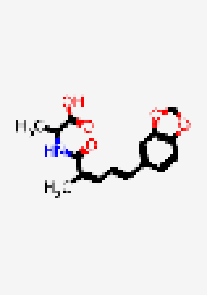 CC(=CC=Cc1ccc2c(c1)OCO2)C(=O)NC(C)C(=O)O